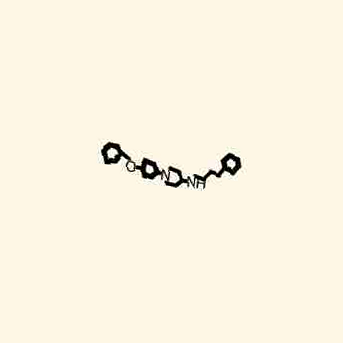 c1ccc(CCCCNC2CCN(c3ccc(OCc4ccccc4)cc3)CC2)cc1